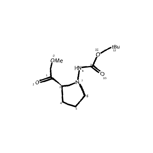 COC(=O)[C@@H]1CCCN1NC(=O)OC(C)(C)C